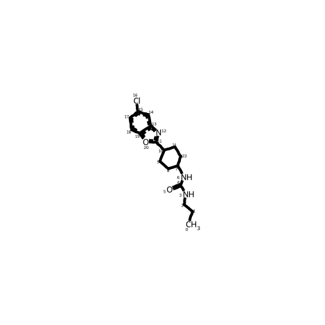 CCCNC(=O)NC1CCC(c2nc3cc(Cl)ccc3o2)CC1